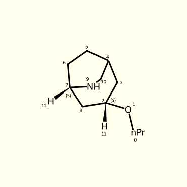 CCCO[C@H]1CC2CC[C@@H](C1)NC2